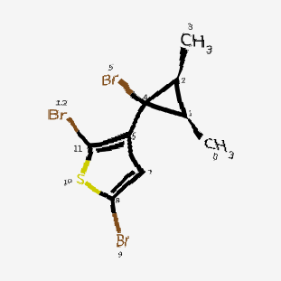 C[C@@H]1[C@H](C)C1(Br)c1cc(Br)sc1Br